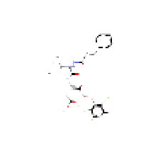 CC(C)[C@H](NC(=O)CCc1ccccc1)C(=O)N[C@@H](CC(=O)O)C(=O)COc1c(F)c(F)cc(F)c1F